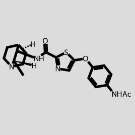 CC(=O)Nc1ccc(Oc2cnc(C(=O)N[C@@H]3C4CCN(CC4)[C@H]3C)s2)cc1